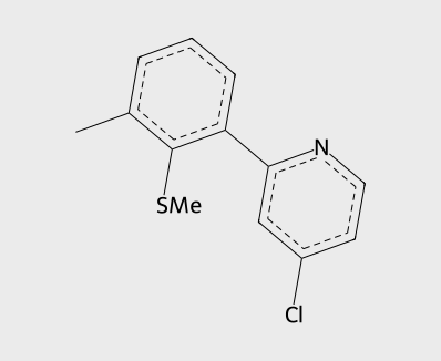 CSc1c(C)cccc1-c1cc(Cl)ccn1